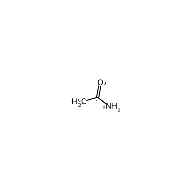 [CH2]C(N)=O